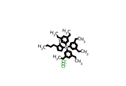 CCCCC1=CCC([Si](c2cc(CC)cc(CC)c2)(c2cc(CC)cc(CC)c2)c2cc(CC)cc(CC)c2)=[C]1[Ti+3].[Cl-].[Cl-].[Cl-]